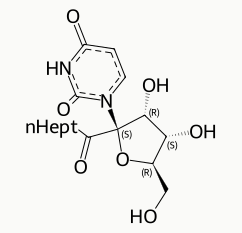 CCCCCCCC(=O)[C@@]1(n2ccc(=O)[nH]c2=O)O[C@H](CO)[C@@H](O)[C@H]1O